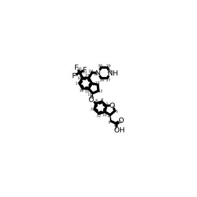 O=C(O)C[C@@H]1COc2cc(O[C@@H]3CCc4c3ccc(C(F)(F)F)c4CN3CCNCC3)ccc21